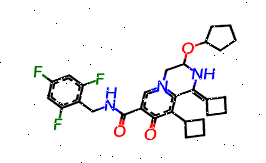 O=C(NCc1c(F)cc(F)cc1F)c1cn2c(c(C3CCC3)c1=O)C(=C1CCC1)NC(OC1CCCC1)C2